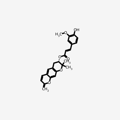 C=C1C=Cc2cc3c(cc2O1)OC(C)(C)[C@@H](OC(=O)/C=C/c1ccc(O)c(OC)c1)C3